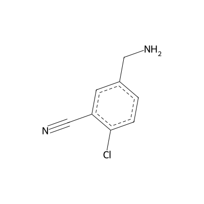 N#Cc1cc(CN)ccc1Cl